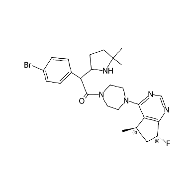 C[C@@H]1C[C@@H](F)c2ncnc(N3CCN(C(=O)C(c4ccc(Br)cc4)C4CCC(C)(C)N4)CC3)c21